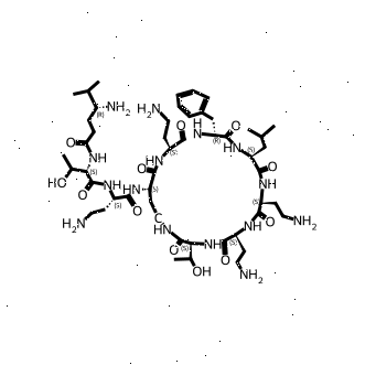 CC(C)C[C@@H]1NC(=O)[C@@H](Cc2ccccc2)NC(=O)[C@H](CCN)NC(=O)[C@@H](NC(=O)[C@H](CCN)NC(=O)[C@@H](NC(=O)CC[C@@H](N)C(C)C)C(C)O)CCNC(=O)[C@H](C(C)O)NC(=O)[C@H](CCN)NC(=O)[C@H](CCN)NC1=O